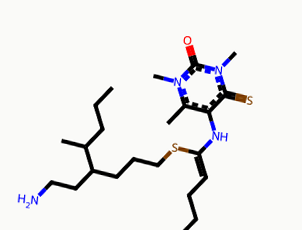 CCC/C=C(/Nc1c(C)n(C)c(=O)n(C)c1=S)SCCCC(CCN)C(C)CCC